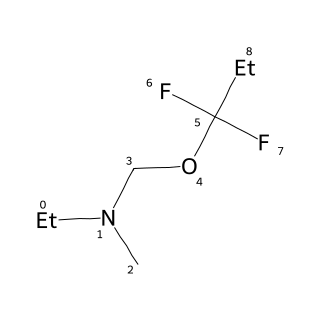 CCN(C)COC(F)(F)CC